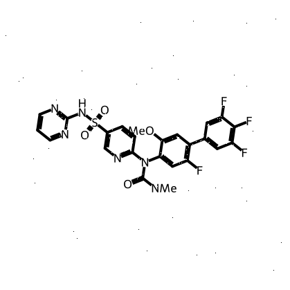 CNC(=O)N(c1ccc(S(=O)(=O)Nc2ncccn2)cn1)c1cc(F)c(-c2cc(F)c(F)c(F)c2)cc1OC